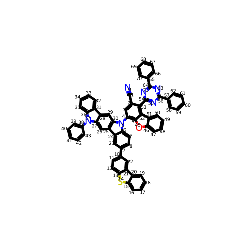 N#Cc1cc(-n2c3ccc(-c4ccc5sc6ccccc6c5c4)cc3c3cc4c(cc32)c2ccccc2n4-c2ccccc2)c2oc3ccccc3c2c1-c1nc(-c2ccccc2)nc(-c2ccccc2)n1